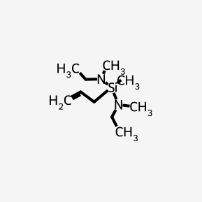 C=CC[Si](C)(N(C)CC)N(C)CC